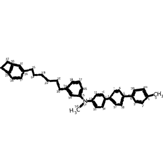 Cc1ccc(-c2ccc(-c3ccc(N(C)c4cccc(CCCCCCc5ccc6c(c5)CC6)c4)cc3)cc2)cc1